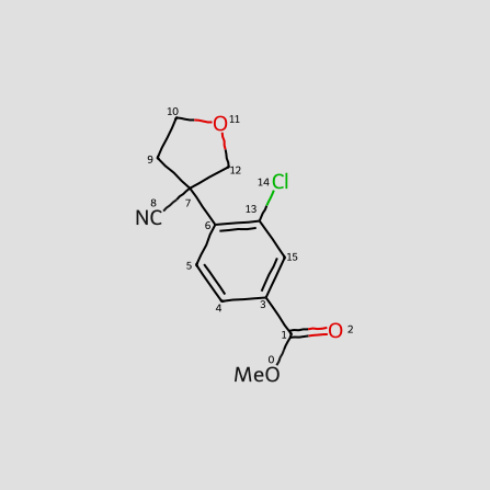 COC(=O)c1ccc(C2(C#N)CCOC2)c(Cl)c1